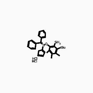 Cc1c(C)c([O][Ti]([C]2=CC=CC2)=[C](c2ccccc2)c2ccccc2)c([SiH3])c(C(C)(C)C)c1C.Cl.Cl